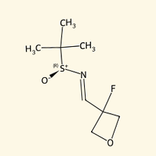 CC(C)(C)[S@+]([O-])N=CC1(F)COC1